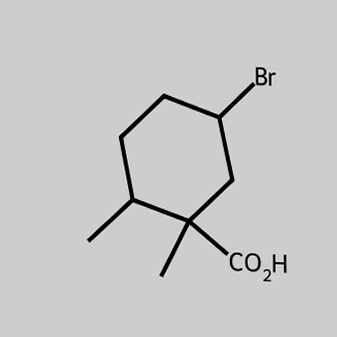 CC1CCC(Br)CC1(C)C(=O)O